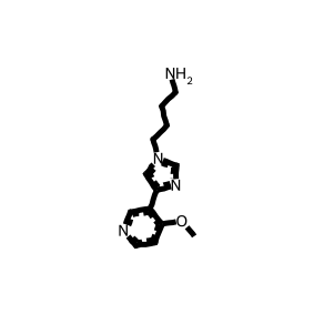 COc1ccncc1-c1cn(CCCCN)cn1